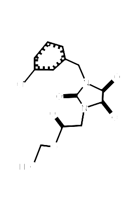 CCOC(=O)CN1C(=O)C(=O)N(Cc2cccc(Cl)c2)C1=O